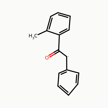 Cc1ccccc1C(=O)[CH]c1ccccc1